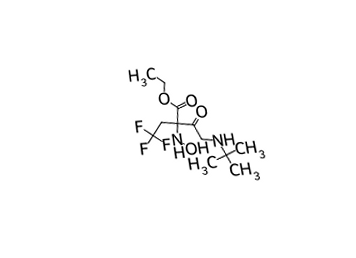 CCOC(=O)C(CC(F)(F)F)(NO)C(=O)CNC(C)(C)C